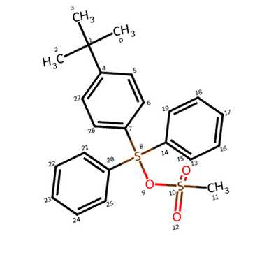 CC(C)(C)c1ccc(S(OS(C)(=O)=O)(c2ccccc2)c2ccccc2)cc1